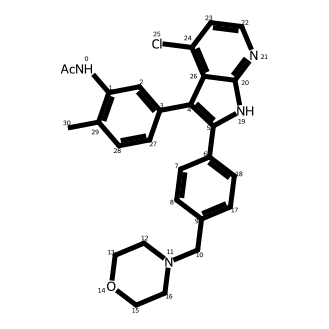 CC(=O)Nc1cc(-c2c(-c3ccc(CN4CCOCC4)cc3)[nH]c3nccc(Cl)c23)ccc1C